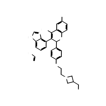 CC1=C(c2cccc3[nH]cnc23)C(c2ccc(OCCN3CC(CF)C3)cc2)Oc2ccc(O)cc21.O=CO